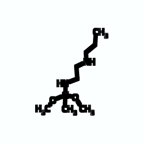 CCCNCCN[Si](C)(OC)OC